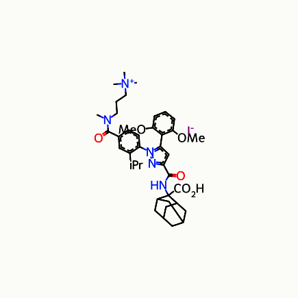 COc1cccc(OC)c1-c1cc(C(=O)NC2(C(=O)O)C3CC4CC(C3)CC2C4)nn1-c1ccc(C(=O)N(C)CCC[N+](C)(C)C)cc1C(C)C.[I-]